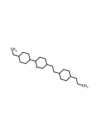 CCCC1CCC(CCC2CCC(C3CCC(CC)CC3)OC2)CC1